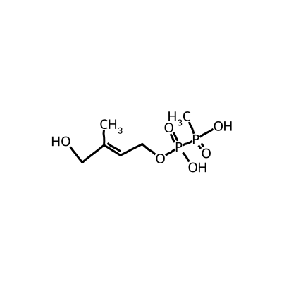 C/C(=C\COP(=O)(O)P(C)(=O)O)CO